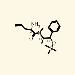 C=CC[C@H](N)C(=O)N(C)[C@H](C)[C@H](O[Si](C)(C)C)c1ccccc1